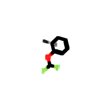 C[C@@H]1CC=CC=C1OC(F)F